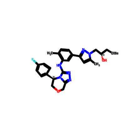 COC[C@H](O)Cn1nc(-c2ccc(C)c(Nc3nnc4n3[C@H](c3ccc(F)cc3)COC4)c2)cc1C